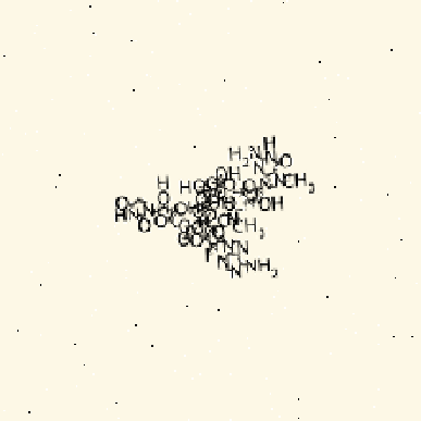 CN(C)C(=O)C[C@H]1[C@@H](O)[C@H](n2c[n+](C)c3c(=O)[nH]c(N)nc32)O[C@@H]1COP(=O)(O)OP(=O)(O)OP(=O)(O)OC[C@H]1O[C@@H](n2cnc3c(N)ncnc32)[C@H](F)[C@@H]1OP(=O)([O-])OC[C@H]1O[C@@H](n2ccc(=O)[nH]c2=O)[C@H](O)[C@@H]1O